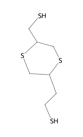 SCCC1CSC(CS)CS1